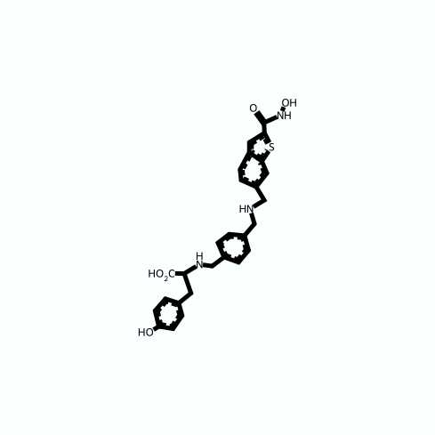 O=C(NO)c1cc2ccc(CNCc3ccc(CNC(Cc4ccc(O)cc4)C(=O)O)cc3)cc2s1